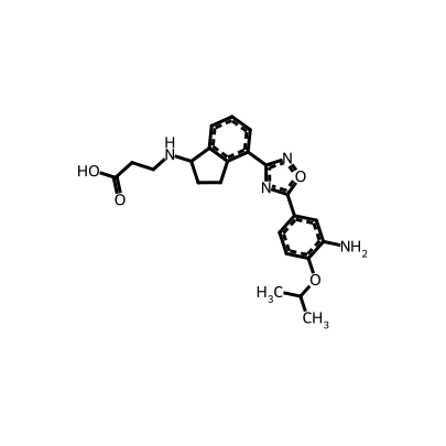 CC(C)Oc1ccc(-c2nc(-c3cccc4c3CCC4NCCC(=O)O)no2)cc1N